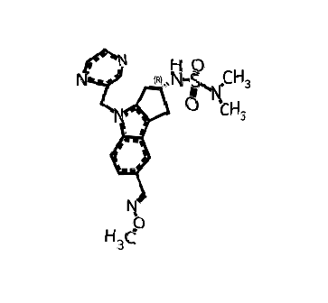 CON=Cc1ccc2c(c1)c1c(n2Cc2cnccn2)C[C@H](NS(=O)(=O)N(C)C)C1